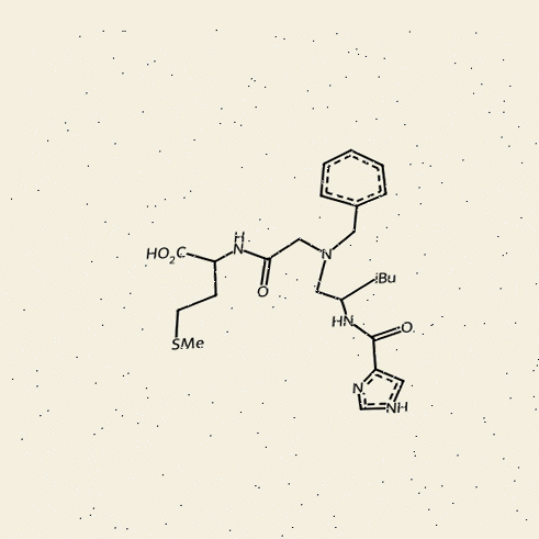 CCC(C)C(CN(CC(=O)NC(CCSC)C(=O)O)Cc1ccccc1)NC(=O)c1c[nH]cn1